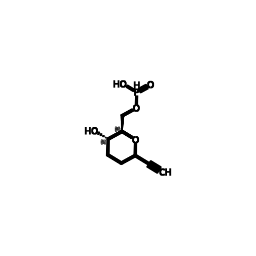 C#CC1CC[C@H](O)[C@@H](CO[PH](=O)O)O1